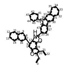 C=Cc1oc2cc(-c3ccc4ccccc4c3)c3c(c2c1C=C)OC(c1ccc2c4cc5ccccc5cc4n(-c4ccccc4)c2c1)N3